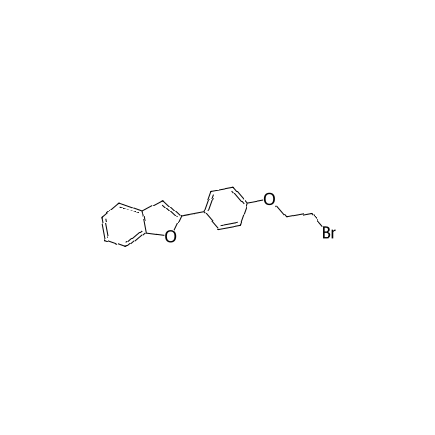 BrCCOc1ccc(-c2cc3ccccc3o2)cc1